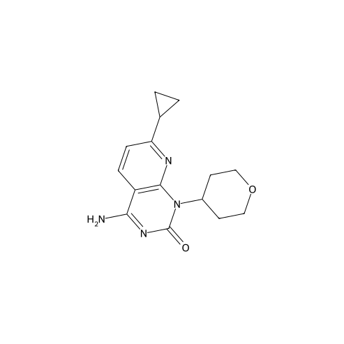 Nc1nc(=O)n(C2CCOCC2)c2nc(C3CC3)ccc12